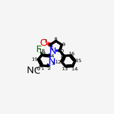 N#Cc1cnc(N2C(=O)CCC2c2ccccc2)c(F)c1